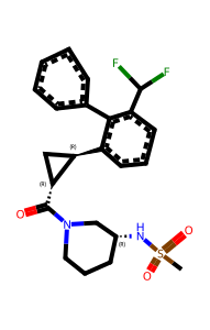 CS(=O)(=O)N[C@@H]1CCCN(C(=O)[C@@H]2C[C@H]2c2cccc(C(F)F)c2-c2ccccc2)C1